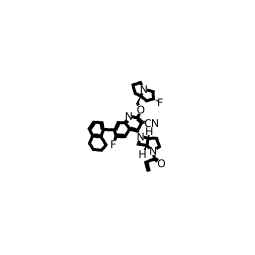 C=CC(=O)N1CC[C@@H]2[C@H]1CN2c1c(C#N)c(OC[C@@]23CCCN2C[C@H](F)C3)nc2cc(-c3cccc4c3CCCC4)c(F)cc12